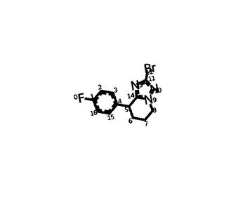 Fc1ccc(C2CCCn3nc(Br)nc32)cc1